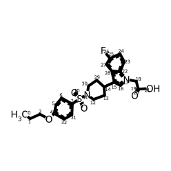 CCCOc1ccc(S(=O)(=O)N2CCC(c3cn(CC(=O)O)c4ccc(F)cc34)CC2)cc1